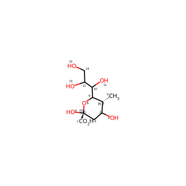 C[C@@H]1C(O)C[C@@](O)(C(=O)O)OC1C(O)C(O)CO